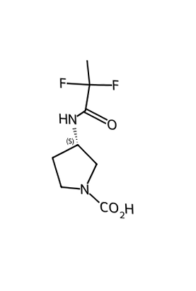 CC(F)(F)C(=O)N[C@H]1CCN(C(=O)O)C1